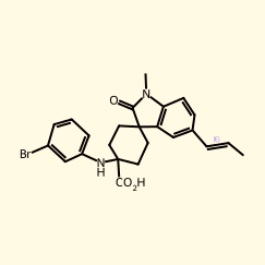 C/C=C/c1ccc2c(c1)C1(CCC(Nc3cccc(Br)c3)(C(=O)O)CC1)C(=O)N2C